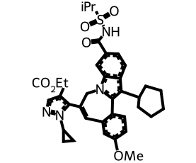 CCOC(=O)c1cnn(C2CC2)c1C1=Cc2cc(OC)ccc2-c2c(C3CCCCC3)c3ccc(C(=O)NS(=O)(=O)C(C)C)cc3n2C1